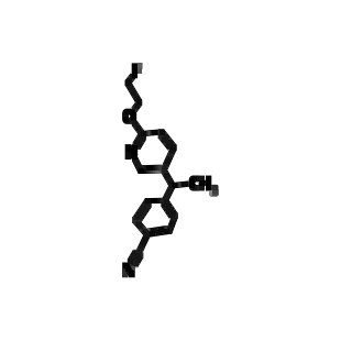 CC(c1ccc(C#N)cc1)c1ccc(OCCF)nc1